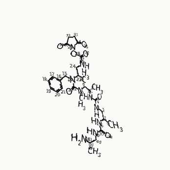 CC(CNC(=O)N[C@@H](C)CN(C)C(=O)N(Cc1ccccc1)C(C)CNC(=O)ON1C(=O)CCC1=O)NC(=O)NC[C@H](C)N